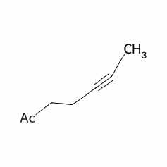 CC#CCCC(C)=O